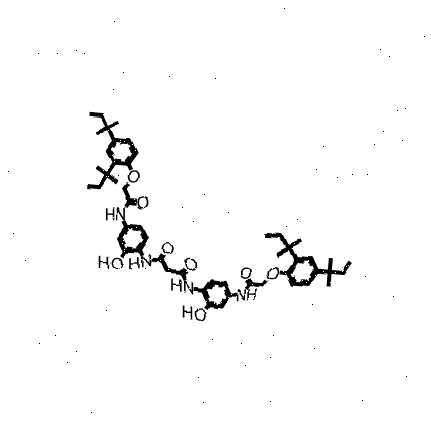 CCC(C)(C)c1ccc(OCC(=O)Nc2ccc(NC(=O)CC(=O)Nc3ccc(NC(=O)COc4ccc(C(C)(C)CC)cc4C(C)(C)CC)cc3O)c(O)c2)c(C(C)(C)CC)c1